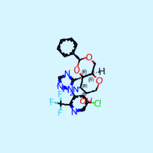 N[C@@H]1[C@@H](O)CO[C@@H]2COC(c3ccccc3)O[C@@]12c1ncnn1-c1cc(Cl)cnc1C(F)(F)F